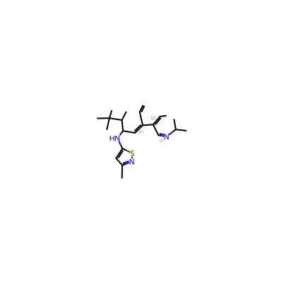 C=CC(=C\C(Nc1cc(C)ns1)C(C)C(C)(C)C)/C(/C=N\C(C)C)=C/C